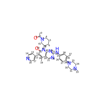 CC(=O)N1CCC[C@H](n2c(=O)c(-c3ccncc3)c(C)c3cnc(Nc4ccc(N5CCN(C)CC5)c(C)c4)nc32)C1